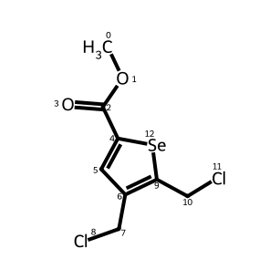 COC(=O)c1cc(CCl)c(CCl)[se]1